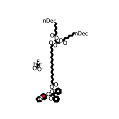 CCCCCCCCCCCCCCCC(=O)OCC(COC(=O)CCCCCCCCCCCCCCC)OC(=O)CCCCCCCCCCCCCCCC(=O)OCOC(C(=O)OC1CC2CCC(C1)[N+]21CCCC1)(c1ccccc1)c1ccccc1.O=C([O-])C(F)(F)F